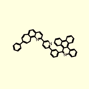 C1=Cc2ccc3ccc(-c4ccc(-c5cccc(-c6nc7ccccc7c7c8ccccc8c8ccccc8c67)c5)nc4)nc3c2CC=C1c1ccccc1